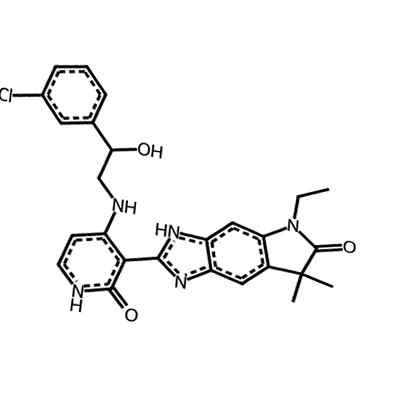 CCN1C(=O)C(C)(C)c2cc3nc(-c4c(NCC(O)c5cccc(Cl)c5)cc[nH]c4=O)[nH]c3cc21